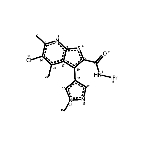 Cc1nc2sc(C(=O)NC(C)C)c(-c3cnn(C)c3)c2c(C)c1Cl